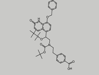 CC(C)(C)OC(=O)N(CCc1ccc(C(=O)O)cc1)CC(O[Si](C)(C)C(C)(C)C)c1ccc(OCc2ccccc2)c2[nH]c(=O)ccc12